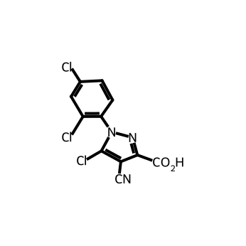 N#Cc1c(C(=O)O)nn(-c2ccc(Cl)cc2Cl)c1Cl